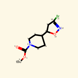 CC(C)(C)OC(=O)N1CCC(C2CC(Br)=NO2)CC1